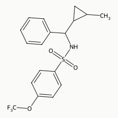 CC1CC1C(NS(=O)(=O)c1ccc(OC(F)(F)F)cc1)c1ccccc1